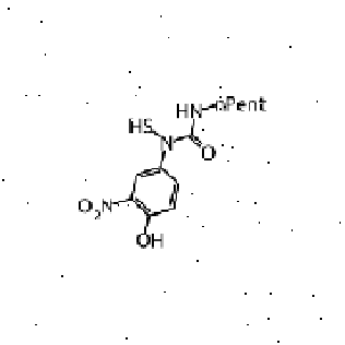 CCCCCNC(=O)N(S)c1ccc(O)c([N+](=O)[O-])c1